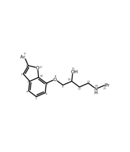 CC(=O)c1cc2cccc(OCC(O)CCNC(C)C)c2o1